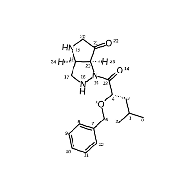 CC(C)C[C@H](OCc1ccccc1)C(=O)N1NC[C@H]2NCC(=O)[C@H]21